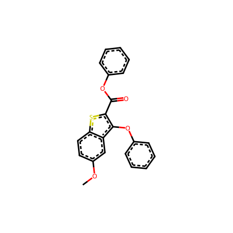 COc1ccc2sc(C(=O)Oc3ccccc3)c(Oc3ccccc3)c2c1